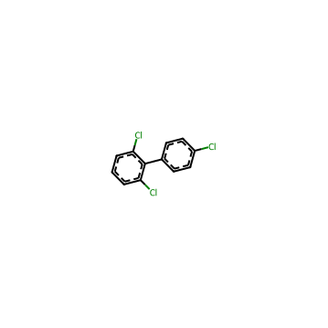 Clc1ccc(-c2c(Cl)cccc2Cl)cc1